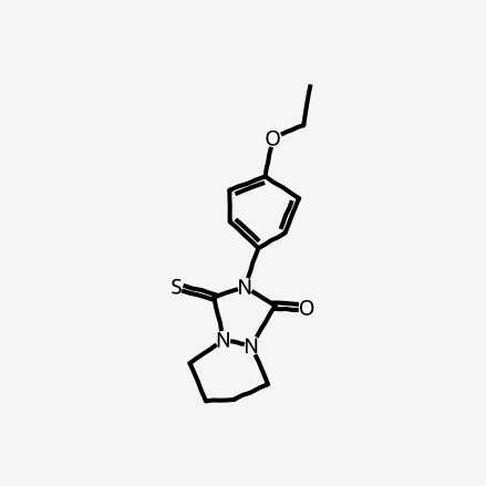 CCOc1ccc(-n2c(=O)n3n(c2=S)CCCC3)cc1